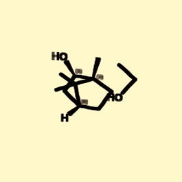 CC1(C)[C@@H]2CC[C@@]1(C)[C@H](O)C2.CCO